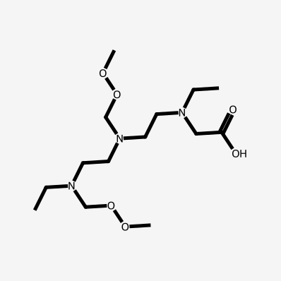 CCN(CCN(CCN(CC)CC(=O)O)COOC)COOC